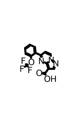 O=C(O)c1cnn2ccc(-c3ccccc3OC(F)(F)F)nc12